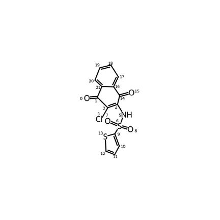 O=C1C(Cl)=C(NS(=O)(=O)c2cccs2)C(=O)c2ccccc21